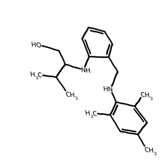 Cc1cc(C)c(NCc2ccccc2NC(CO)C(C)C)c(C)c1